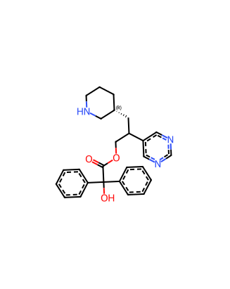 O=C(OCC(C[C@H]1CCCNC1)c1cncnc1)C(O)(c1ccccc1)c1ccccc1